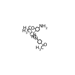 CC(=O)c1ccc(N2CN3CC=C4C(c5ccc(N)cc5OC4(C)C)N3C2)cc1